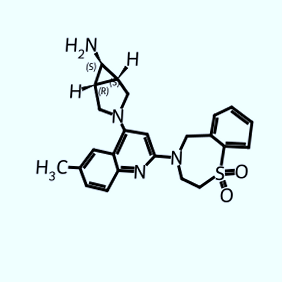 Cc1ccc2nc(N3CCS(=O)(=O)c4ccccc4C3)cc(N3C[C@@H]4[C@@H](N)[C@@H]4C3)c2c1